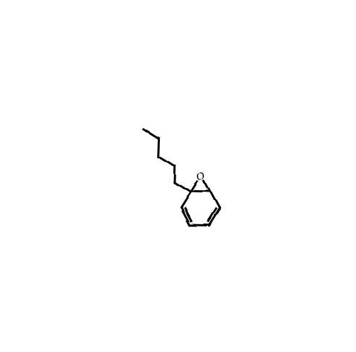 CCCCCC12C=CC=CC1O2